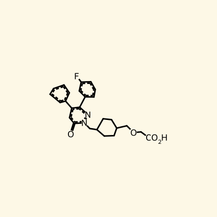 O=C(O)COCC1CCC(Cn2nc(-c3cccc(F)c3)c(-c3ccccc3)cc2=O)CC1